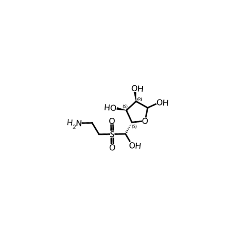 NCCS(=O)(=O)C(O)[C@H]1OC(O)[C@H](O)[C@@H]1O